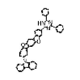 c1ccc(C2=NC(c3ccccc3)NC(c3ccc4c(c3)oc3cc5c(cc34)oc3ccc(-n4c6ccccc6c6ccccc64)cc35)=N2)cc1